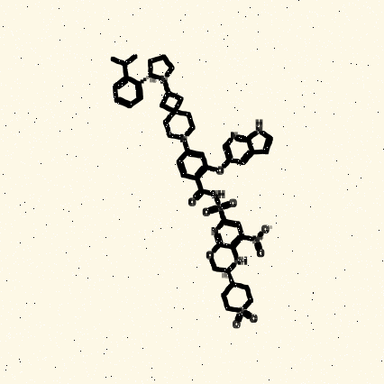 CC(C)c1ccccc1[C@@H]1CCCN1C1CC2(CCN(c3ccc(C(=O)NS(=O)(=O)c4cc([N+](=O)[O-])c5c(n4)OC[C@H](C4CCS(=O)(=O)CC4)N5)c(Oc4cnc5[nH]ccc5c4)c3)CC2)C1